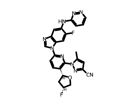 Cc1cc(C#N)nn1-c1nc(-n2cnc3cc(Nc4cccnn4)c(F)cc32)ccc1[C@H]1C[C@@H](F)CO1